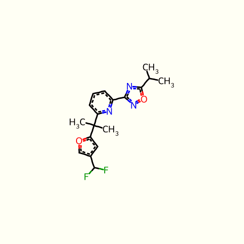 CC(C)c1nc(-c2cccc(C(C)(C)c3cc(C(F)F)co3)n2)no1